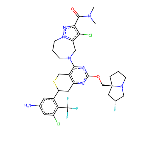 CN(C)C(=O)c1nn2c(c1Cl)CN(c1nc(OC[C@@]34CCCN3C[C@H](F)C4)nc3c1CSC(c1cc(N)cc(Cl)c1C(F)(F)F)C3)CCC2